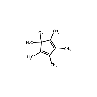 CC1=C(C)[C](C)([Os])C(C)=C1C